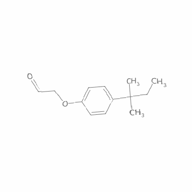 CCC(C)(C)c1ccc(OCC=O)cc1